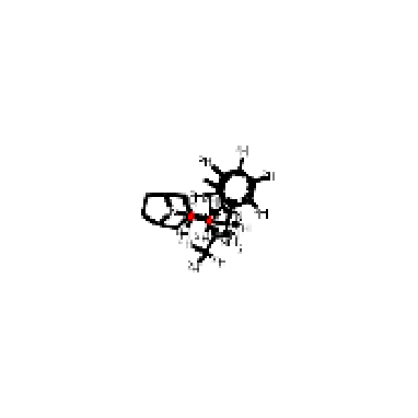 [2H]c1c([2H])c([2H])c([C@@]([2H])(N)C([2H])([2H])C([2H])([2H])N2C3CCC2CC(n2c(C(C)C)nnc2C([2H])([2H])[2H])C3)c([2H])c1[2H]